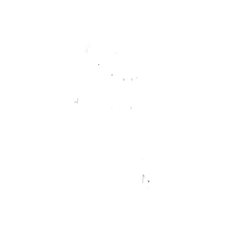 CC(C)(Br)C(=O)C(Br)c1ccc(C#N)cc1